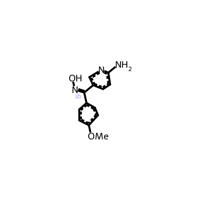 COc1ccc(/C(=N/O)c2ccc(N)nc2)cc1